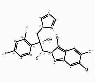 CCc1c2cc(Cl)c(Cl)cc2nn1[C@H](C)[C@](O)(Cn1cncn1)c1ccc(F)cc1F